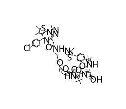 Cc1ncsc1-c1ccc([C@H](C)NC(=O)[C@@H]2C[C@@H](O)CN2C(=O)[C@@H](NC(=O)[C@H]2CC[C@@H](COCCCNC(=O)C[C@@H]3N=C(c4ccc(Cl)cc4)c4c(sc(C)c4C)-n4c(C)nnc43)O2)C(C)(C)C)cc1